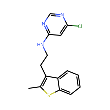 Cc1sc2ccccc2c1CCNc1cc(Cl)ncn1